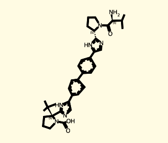 CC(C)[C@H](N)C(=O)N1CCC[C@H]1c1ncc(-c2ccc(-c3ccc(-c4cnc([C@@]5(C(C)(C)C)CCCN5C(=O)O)[nH]4)cc3)cc2)[nH]1